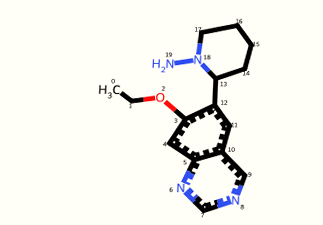 CCOc1cc2ncncc2cc1C1CCCCN1N